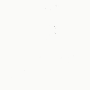 COCCOc1ccc(CCCOc2cc(CCC(=O)O)n(C)n2)c(OCc2ccc(C(F)(F)F)cc2)c1